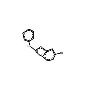 CC(C)(C)c1ccc2oc(Nc3ccccc3)nc2c1